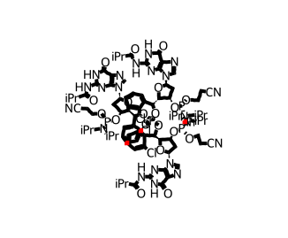 CC(C)C(=O)Nc1nc2c(ncn2[C@H]2C[C@H](OP(OCCC#N)N(C(C)C)C(C)C)[C@H](C(OP(=O)(OC(c3ccccc3Cl)[C@@H]3O[C@@H](n4cnc5c(=O)[nH]c(NC(=O)C(C)C)nc54)C[C@@H]3OP(OCCC#N)N(C(C)C)C(C)C)OC(c3ccccc3Cl)[C@@H]3O[C@@H](n4cnc5c(=O)[nH]c(NC(=O)C(C)C)nc54)C[C@@H]3OP(OCCC#N)N(C(C)C)C(C)C)c3ccccc3Cl)O2)c(=O)[nH]1